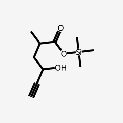 C#CC(O)CC(C)C(=O)O[Si](C)(C)C